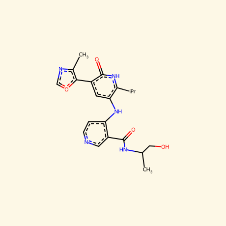 Cc1ncoc1-c1cc(Nc2ccncc2C(=O)NC(C)CO)c(C(C)C)[nH]c1=O